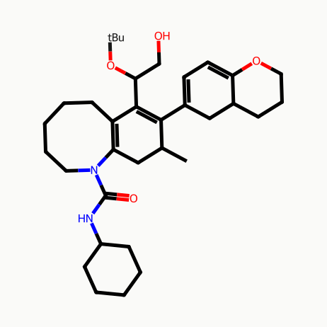 CC1CC2=C(CCCCCN2C(=O)NC2CCCCC2)C(C(CO)OC(C)(C)C)=C1C1=CC=C2OCCCC2C1